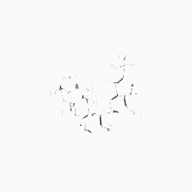 Cc1c(C(C)(C)O)cnc2c(Cl)cc(-c3nc(N[C@@H]4C[C@H]5CO[C@H](O5)[C@H]4O)ncc3F)cc12